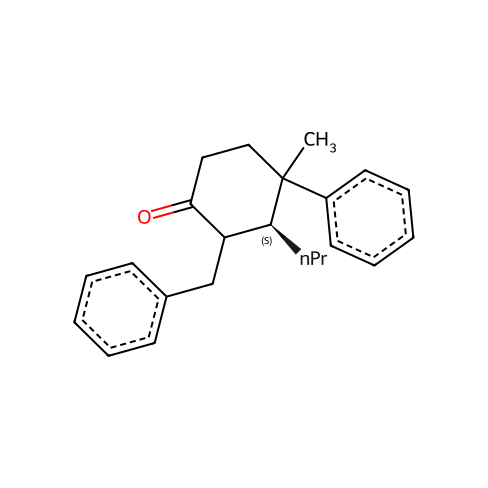 CCC[C@H]1C(Cc2ccccc2)C(=O)CCC1(C)c1ccccc1